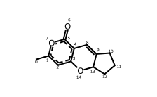 Cc1cc2c(c(=O)o1)C=C1CCCC1O2